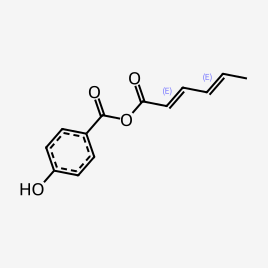 C/C=C/C=C/C(=O)OC(=O)c1ccc(O)cc1